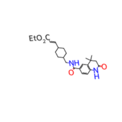 CCOC(=O)/C=C/C1CCC(CNC(=O)c2ccc3c(c2)C(C)(C)CC(=O)N3)CC1